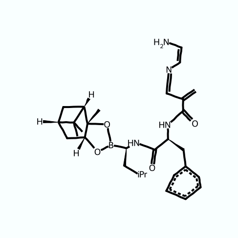 C=C(/C=N\C=C/N)C(=O)N[C@@H](Cc1ccccc1)C(=O)N[C@@H](CC(C)C)B1O[C@@H]2C[C@@H]3C[C@@H](C3(C)C)[C@]2(C)O1